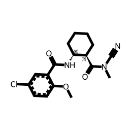 COc1ccc(Cl)cc1C(=O)N[C@@H]1CCCC[C@H]1C(=O)N(C)C#N